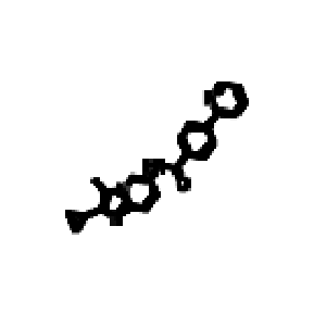 Cc1c(C2CC2)nc2ccc(NC(=O)c3ccc(-c4ccccn4)cc3)cn12